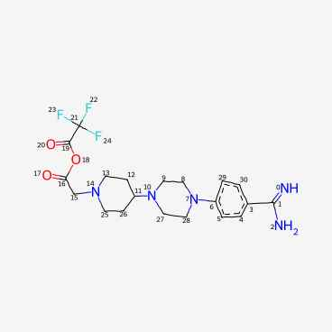 N=C(N)c1ccc(N2CCN(C3CCN(CC(=O)OC(=O)C(F)(F)F)CC3)CC2)cc1